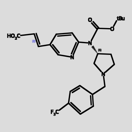 CC(C)(C)OC(=O)N(c1ccc(/C=C/C(=O)O)cn1)[C@@H]1CCN(Cc2ccc(C(F)(F)F)cc2)C1